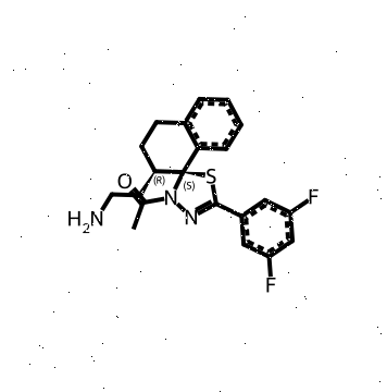 CC(=O)N1N=C(c2cc(F)cc(F)c2)S[C@@]12c1ccccc1CC[C@@H]2CCN